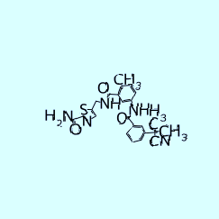 Cc1ccc(NC(=O)c2cccc(C(C)(C)C#N)c2)cc1C(=O)NCc1cnc(C(N)=O)s1